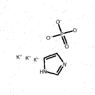 O=P([O-])([O-])[O-].[K+].[K+].[K+].c1c[nH]cn1